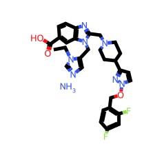 CCn1cncc1Cn1c(CN2CCC(c3ccn(OCc4ccc(F)cc4F)n3)CC2)nc2ccc(C(=O)O)cc21.N